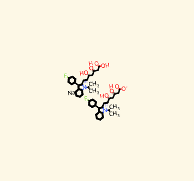 CC(C)n1c(/C=C/[C@@H](O)C[C@@H](O)CC(=O)O)c(-c2ccc(F)cc2)c2ccccc21.CC(C)n1c(/C=C/[C@@H](O)C[C@@H](O)CC(=O)[O-])c(-c2ccc(F)cc2)c2ccccc21.[Na+]